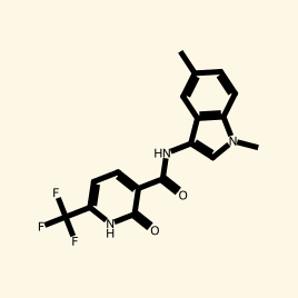 Cc1ccc2c(c1)c(NC(=O)c1ccc(C(F)(F)F)[nH]c1=O)cn2C